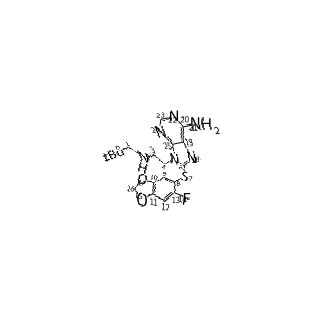 CC(C)(C)CNCCn1c(Sc2cc3c(cc2F)OCO3)nc2c(N)ncnc21